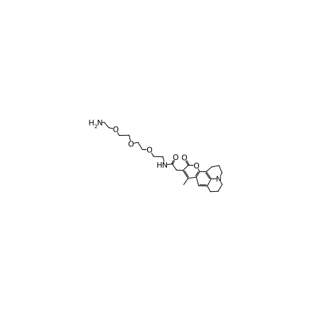 Cc1c(CC(=O)NCCOCCOCCOCCN)c(=O)oc2c3c4c(cc12)CCCN4CCC3